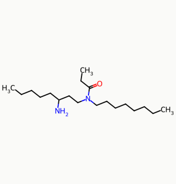 CCCCCCCCN(CCC(N)CCCCC)C(=O)CC